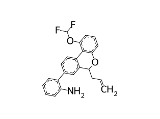 C=CCC1Oc2cccc(OC(F)F)c2-c2ccc(-c3ccccc3N)cc21